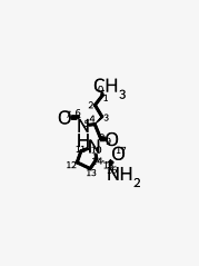 CCCC[C@H](NC=O)C(=O)N1CCC[C@H]1C(N)=O